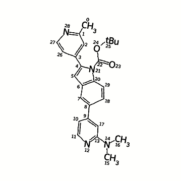 Cc1cc(-c2cc3cc(-c4ccnc(N(C)C)c4)ccc3n2C(=O)OC(C)(C)C)ccn1